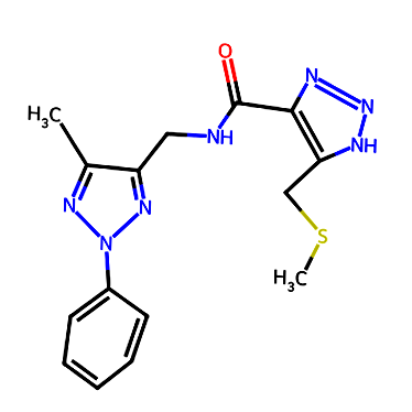 CSCc1[nH]nnc1C(=O)NCc1nn(-c2ccccc2)nc1C